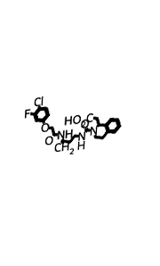 C=C(CCNC(=O)N1CCc2ccccc2C1CC(=O)O)NC(=O)COc1ccc(Cl)c(F)c1